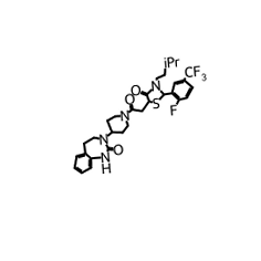 CC(C)CCN1C(=O)C(CC(=O)N2CCC(N3CCc4ccccc4NC3=O)CC2)SC1c1cc(C(F)(F)F)ccc1F